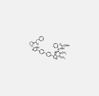 COC(=O)N[C@@H](C(=O)N(C)[C@@H](C)c1ncc(-c2ccc(-c3ccc(-c4cnc([C@@H]5CCCN5C(=O)Cc5ccccc5)[nH]4)cc3)cc2)[nH]1)c1ccccc1